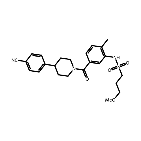 COCCCS(=O)(=O)Nc1cc(C(=O)N2CCC(c3ccc(C#N)cc3)CC2)ccc1C